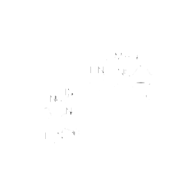 COc1ccc(Cl)cc1N1CCNC(CCCNc2nccc(C(N)=O)n2)C1